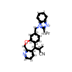 CCCc1nc2ccccc2n1Cc1ccc2c(c1)OCc1ncccc1C2=C(C)C#N